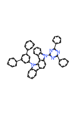 c1ccc(-c2cc(-c3ccccc3)cc(-n3c4ccccc4c4ccc5c(c6ccccc6n5-c5nc(-c6ccccc6)nc(-c6ccccc6)n5)c43)c2)cc1